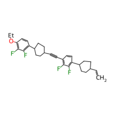 C=CC1CCC(c2ccc(C#CC3CCC(c4ccc(OCC)c(F)c4F)CC3)c(F)c2F)CC1